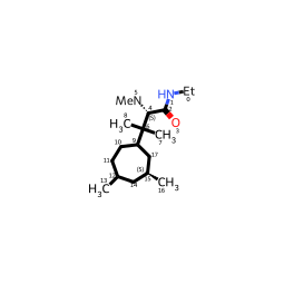 CCNC(=O)[C@@H](NC)C(C)(C)C1CCC(C)C[C@H](C)C1